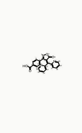 O=C1ON=C(c2ccc(C(=O)O)cc2)C1=C(c1ccccn1)c1ccccn1